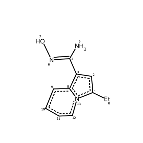 CCc1cc(C(N)=NO)c2ccccn12